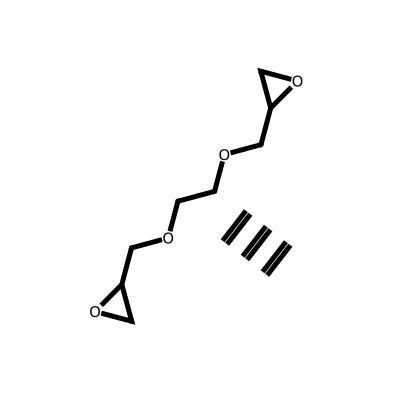 C(COCC1CO1)OCC1CO1.C=C.C=C.C=C